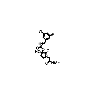 CNC(=O)CN1CCC(O)(OC(=O)NCc2cc(F)cc(Cl)c2)C1=O